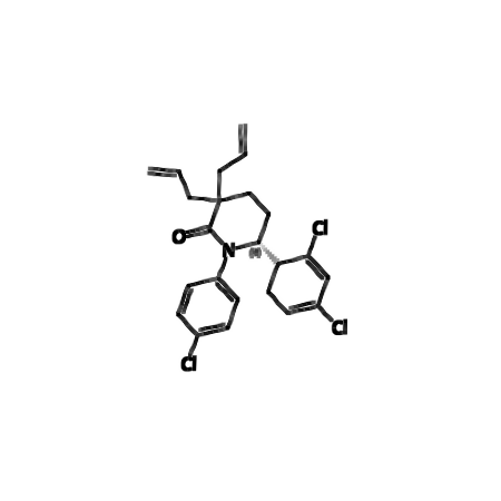 C=CCC1(CC=C)CC[C@H](C2CC=C(Cl)C=C2Cl)N(c2ccc(Cl)cc2)C1=O